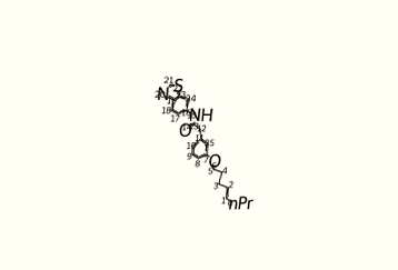 CCCC=CCCCOc1cccc(CC(=O)Nc2ccc3ncsc3c2)c1